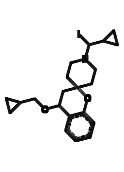 IC(C1CC1)N1CCC2(CC1)CC(OCC1CC1)c1ccccc1O2